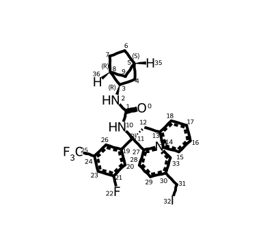 O=C(N[C@@H]1C[C@H]2CC[C@@H]1C2)N[C@](Cc1ccccc1)(c1cc(F)cc(C(F)(F)F)c1)c1ccc(CI)cn1